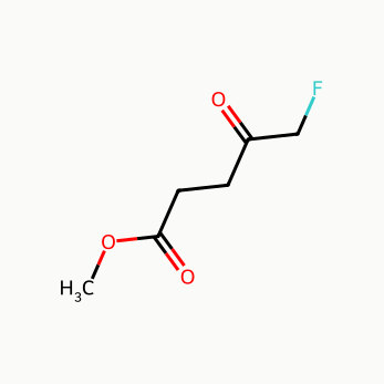 COC(=O)CCC(=O)CF